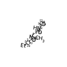 CCc1ccc(-c2nc(CCCC(=O)NCc3ccco3)c(C)o2)cc1